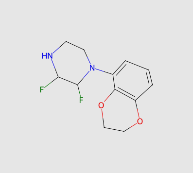 FC1NCCN(c2cccc3c2OCCO3)C1F